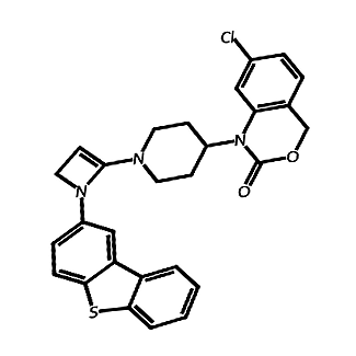 O=C1OCc2ccc(Cl)cc2N1C1CCN(C2=CCN2c2ccc3sc4ccccc4c3c2)CC1